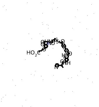 CC1C(C(=O)Nc2ccc(CNC(=O)N3CCC(N4CCN(C(=O)CCSSC(C)(C)CC(=O)N/N=C5\CCS(=O)(=O)c6cc(OCCCC(=O)O)ccc65)CC4)CC3)c(F)c2)C1c1cccnc1